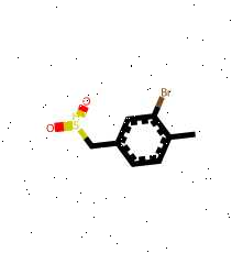 Cc1ccc(C[SH](=O)=O)cc1Br